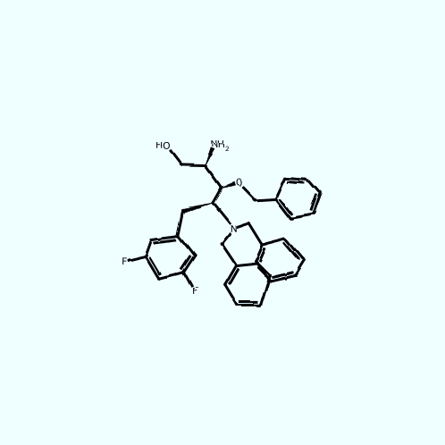 N[C@H](CO)[C@@H](OCc1ccccc1)[C@H](Cc1cc(F)cc(F)c1)N(Cc1ccccc1)Cc1ccccc1